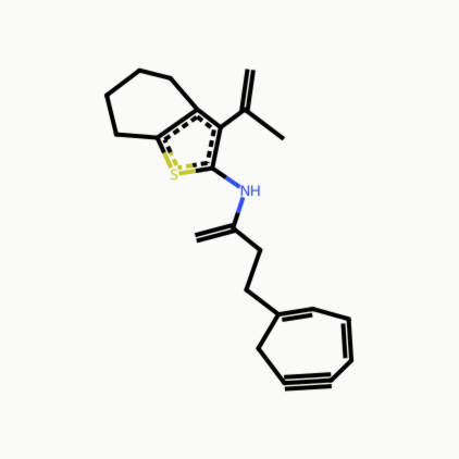 C=C(CCC1=CC=CC#CC1)Nc1sc2c(c1C(=C)C)CCCC2